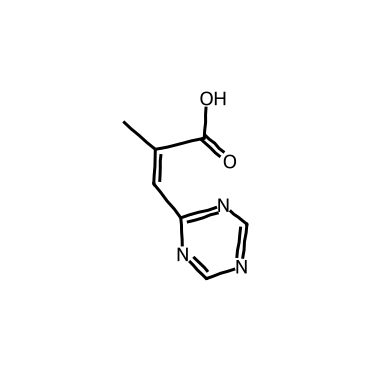 CC(=Cc1ncncn1)C(=O)O